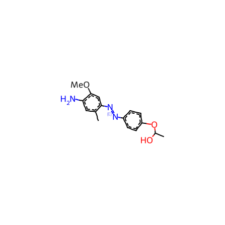 COc1cc(/N=N/c2ccc(OC(C)O)cc2)c(C)cc1N